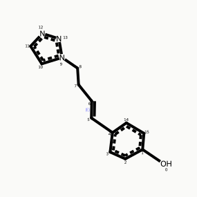 Oc1ccc(/C=C/CCn2ccnn2)cc1